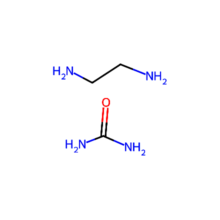 NC(N)=O.NCCN